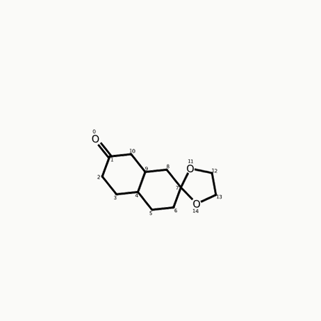 O=C1CCC2CCC3(CC2C1)OCCO3